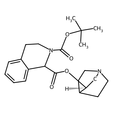 CC(C)(C)OC(=O)N1CCc2ccccc2C1C(=O)O[C@H]1CN2CCC1CC2